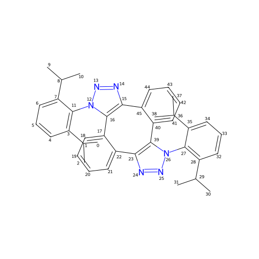 CC(C)c1cccc(C(C)C)c1-n1nnc2c1-c1ccccc1-c1nnn(-c3c(C(C)C)cccc3C(C)C)c1-c1ccccc1-2